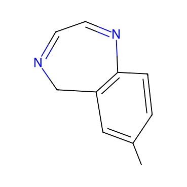 Cc1ccc2c(c1)CN=CC=N2